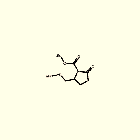 CCCSCC1CCC(=O)N1C(=O)OC(C)(C)C